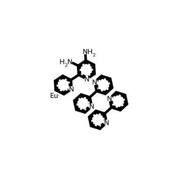 Nc1ccnc(-c2ccccn2)c1N.[Eu].c1ccc(-c2ccccn2)nc1.c1ccc(-c2ccccn2)nc1